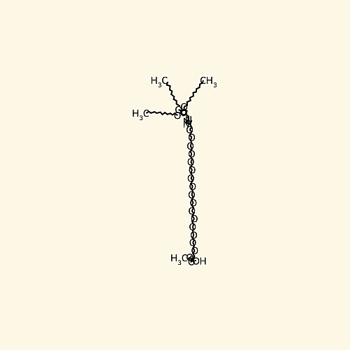 CCCCCCCCCCCCOc1cc(Cn2cc(COCCOCCOCCOCCOCCOCCOCCOCCOCCOCCOCCOCCOCCOCCOCCOCCP(=O)(O)OCC)nn2)cc(OCCCCCCCCCCCC)c1OCCCCCCCCCCCC